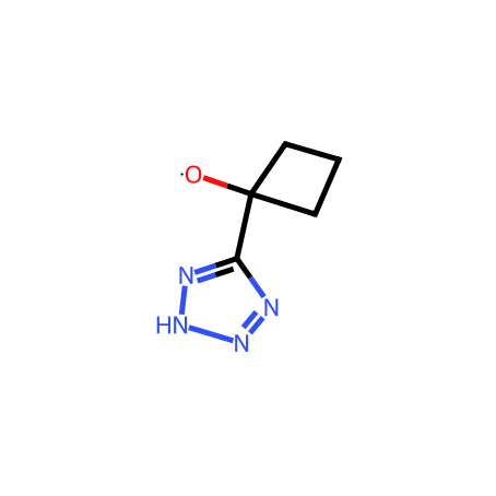 [O]C1(c2nn[nH]n2)CCC1